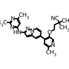 Cc1cc(-c2ccn3nc(Nc4cc(C)nc(C)n4)cc3c2)c(OCCC(C)(C)C#N)cn1